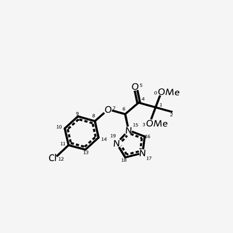 COC(C)(OC)C(=O)C(Oc1ccc(Cl)cc1)n1cncn1